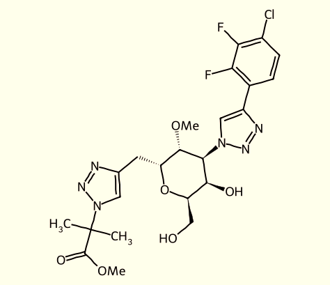 COC(=O)C(C)(C)n1cc(C[C@H]2O[C@H](CO)[C@H](O)[C@H](n3cc(-c4ccc(Cl)c(F)c4F)nn3)[C@H]2OC)nn1